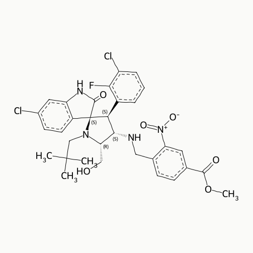 COC(=O)c1ccc(CN[C@@H]2[C@H](CO)N(CC(C)(C)C)[C@@]3(C(=O)Nc4cc(Cl)ccc43)[C@H]2c2cccc(Cl)c2F)c([N+](=O)[O-])c1